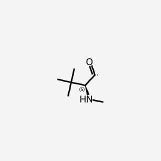 CN[C@H]([C]=O)C(C)(C)C